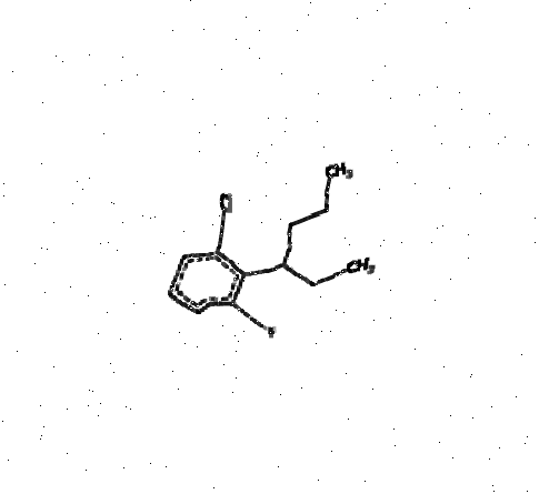 CCCC(CC)c1c(F)cccc1Cl